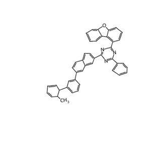 CC1C=CC=CC1c1cccc(-c2ccc3ccc(-c4nc(-c5ccccc5)nc(-c5cccc6oc7ccccc7c56)n4)cc3c2)c1